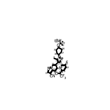 Cc1c(-c2cc(OC(c3ccc(F)cn3)C(F)(F)F)c3c(C#N)cnn3c2)cnn1C1CCC(O[Si](C)(C)C(C)(C)C)CC1